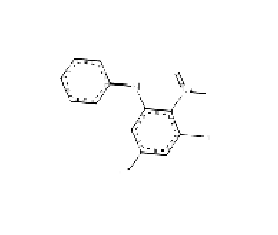 O=[N+]([O-])c1c(Br)cc(Cl)cc1Nc1ccccc1